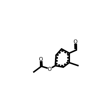 CC(=O)Oc1ccc(C=O)c(C)c1